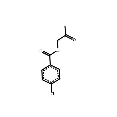 CC(=O)COC(=O)c1ccc(Cl)cc1